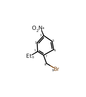 CCc1cc([N+](=O)[O-])ccc1CBr